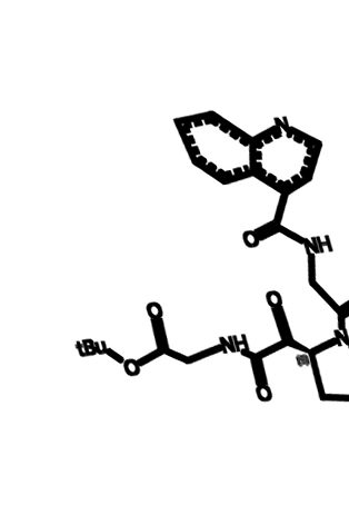 CC(C)(C)OC(=O)CNC(=O)C(=O)[C@@H]1CCCN1C(=O)CNC(=O)c1ccnc2ccccc12